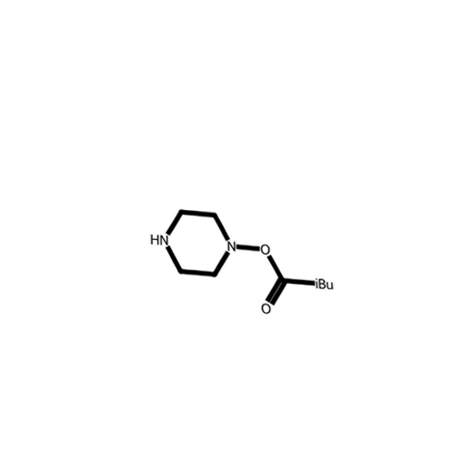 CCC(C)C(=O)ON1CCNCC1